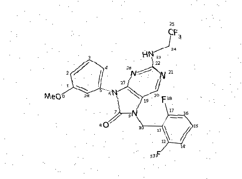 COc1cccc(-n2c(=O)n(Cc3c(F)cccc3F)c3cnc(NCC(F)(F)F)nc32)c1